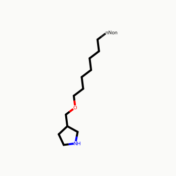 CCCCCCCCCCCCCCCCOCC1CCNC1